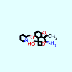 Cc1oc2ccc(OCc3ccccn3)c(C3(CO)CCC3)c2c1C(N)=O